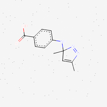 CC1=CC(C)(Nc2ccc(C(=O)O)cc2)N=N1